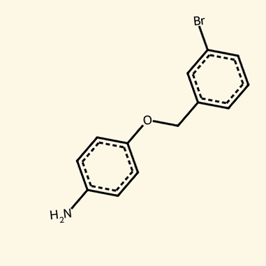 Nc1ccc(OCc2cccc(Br)c2)cc1